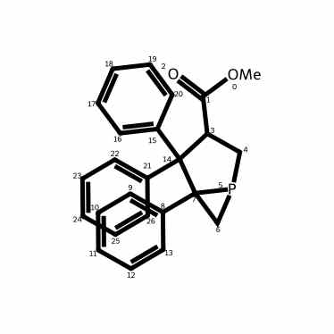 COC(=O)C1CP2CC2(c2ccccc2)C1(c1ccccc1)c1ccccc1